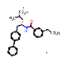 C[C@H](C[C@@H](Cc1ccc(-c2ccccc2)cc1)NC(=O)c1cccc(CC(=O)O)c1)C(=O)O